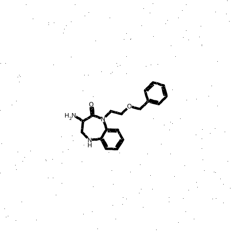 NC1CNc2ccccc2N(CCOCc2ccccc2)C1=O